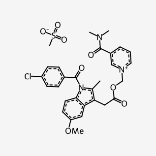 COc1ccc2c(c1)c(CC(=O)OC[n+]1cccc(C(=O)N(C)C)c1)c(C)n2C(=O)c1ccc(Cl)cc1.CS(=O)(=O)[O-]